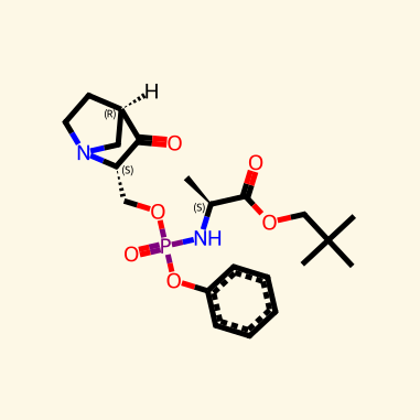 C[C@H](NP(=O)(OC[C@H]1C(=O)[C@@H]2CCN1C2)Oc1ccccc1)C(=O)OCC(C)(C)C